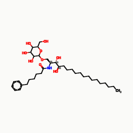 CCCCCCCCCCCCCC[C@@H](O)[C@@H](O)[C@H](COC1OC(CO)C(O)C(O)C1O)NC(=O)CCCCCc1ccccc1